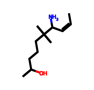 C/C=C\C(N)C(C)(C)CCCC(C)O